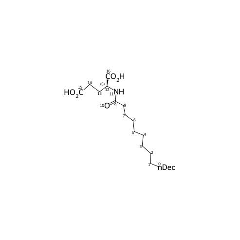 CCCCCCCCCCCCCCCCCCC(=O)N[C@@H](CCC(=O)O)C(=O)O